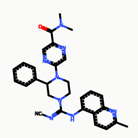 Cc1ccc2c(N/C(=N/C#N)N3CCN(c4cnc(C(=O)N(C)C)cn4)C(c4ccccc4)C3)cccc2n1